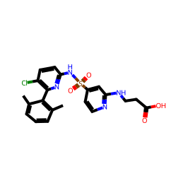 Cc1cccc(C)c1-c1nc(NS(=O)(=O)c2ccnc(NCCC(=O)O)c2)ccc1Cl